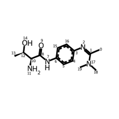 CC(=Nc1ccc(NC(=O)[C@@H](N)[C@@H](C)O)cc1)N(C)C